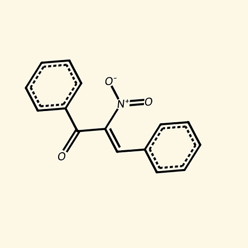 O=C(C(=Cc1ccccc1)[N+](=O)[O-])c1ccccc1